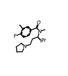 Cc1cc(C(=O)N(C)C(CCN2CCCC2)C(C)C)ccc1F